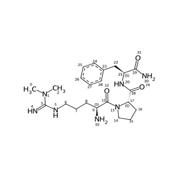 CN(C)C(=N)NCCC[C@H](N)C(=O)N1CCC[C@H]1C(=O)N[C@@H](Cc1ccccc1)C(N)=O